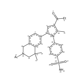 CCC(=O)c1cc(-c2ccc3c(c2)C(C)(C)CN(C(C)=O)C3)n(-c2ccc(S(N)(=O)=O)cc2)c1C